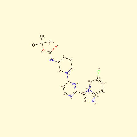 CC(C)(C)OC(=O)NC1CCCN(c2ccnc(-c3cnc4ccc(Cl)cn34)n2)C1